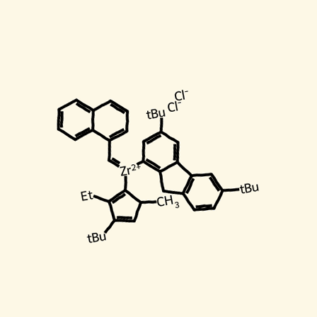 CCC1=[C](/[Zr+2](=[CH]/c2cccc3ccccc23)[c]2cc(C(C)(C)C)cc3c2Cc2ccc(C(C)(C)C)cc2-3)C(C)C=C1C(C)(C)C.[Cl-].[Cl-]